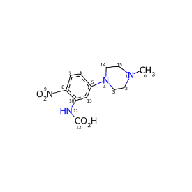 CN1CCN(c2ccc([N+](=O)[O-])c(NC(=O)O)c2)CC1